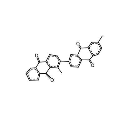 Cc1ccc2c(c1)C(=O)c1cc(-c3ccc4c(c3C)C(=O)c3ccccc3C4=O)ccc1C2=O